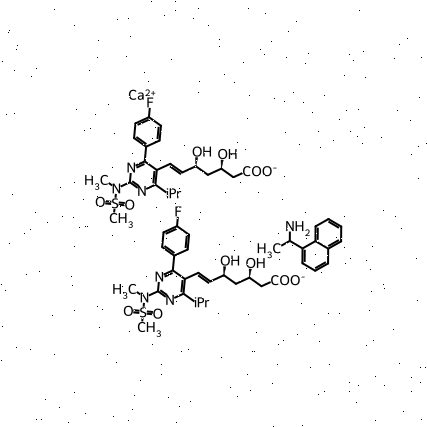 CC(C)c1nc(N(C)S(C)(=O)=O)nc(-c2ccc(F)cc2)c1C=C[C@@H](O)C[C@@H](O)CC(=O)[O-].CC(C)c1nc(N(C)S(C)(=O)=O)nc(-c2ccc(F)cc2)c1C=C[C@@H](O)C[C@@H](O)CC(=O)[O-].CC(N)c1cccc2ccccc12.[Ca+2]